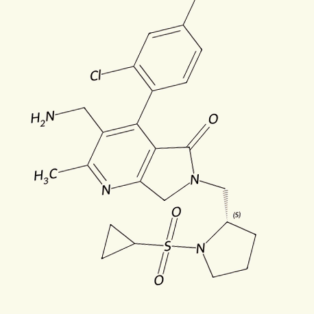 Cc1nc2c(c(-c3ccc(Cl)cc3Cl)c1CN)C(=O)N(C[C@@H]1CCCN1S(=O)(=O)C1CC1)C2